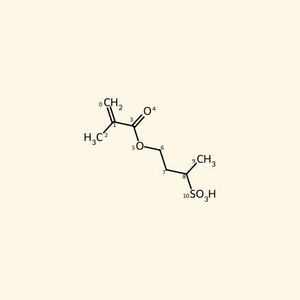 C=C(C)C(=O)OCCC(C)S(=O)(=O)O